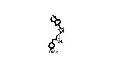 COc1ccc(C[C@H](N)CNc2nc(-c3ccc4cnccc4c3)ns2)cc1